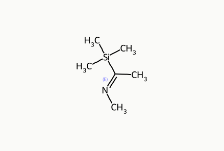 C/N=C(\C)[Si](C)(C)C